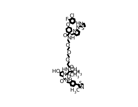 Cc1ncsc1-c1ccc(CNC(=O)[C@@H]2C[C@@H](O)CN2C(=O)[C@@H](NC(=O)CCOCCOCCOCCNC(=O)[C@]2(Cc3cccc(Nc4nccs4)n3)CC[C@@H](Oc3cccc(Cl)c3F)CC2)C(C)(C)C)cc1